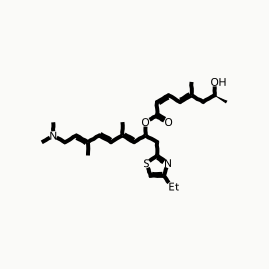 CCc1csc(CC(/C=C(C)/C=C/C(C)=C/CN(C)C)OC(=O)/C=C\C=C(/C)C[C@H](C)O)n1